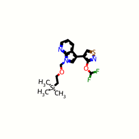 C[Si](C)(C)CCOCn1cc(-c2csnc2OC(F)F)c2cccnc21